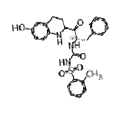 Cc1ccccc1S(=O)(=O)NC(=O)N[C@@H](Cc1ccccc1)C(=O)C1CCc2cc(O)ccc2N1